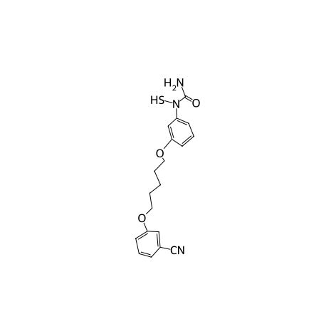 N#Cc1cccc(OCCCCCOc2cccc(N(S)C(N)=O)c2)c1